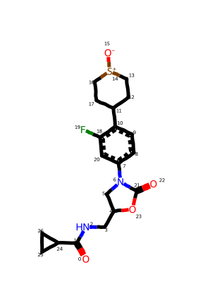 O=C(NCC1CN(c2ccc(C3CC[S+]([O-])CC3)c(F)c2)C(=O)O1)C1CC1